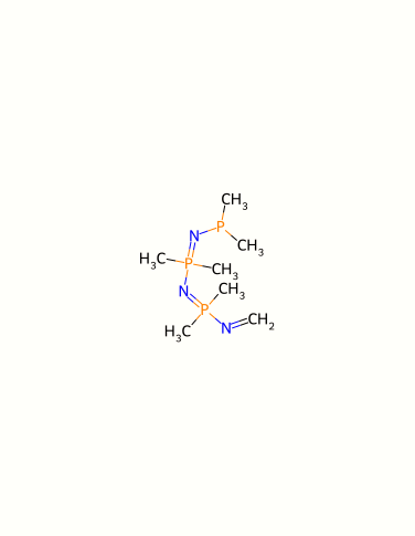 C=NP(C)(C)=NP(C)(C)=NP(C)C